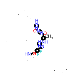 Cc1cc(Nc2nccn3c(-c4ccc(OCC=N)c(F)c4F)cnc23)ccc1C(=O)N1CCN(C(=O)N2CCNCC2)CC1